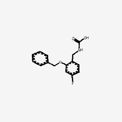 O=C(O)NCc1ccc(F)cc1OCc1ccccc1